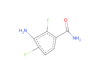 NC(=O)c1ccc(F)c(N)c1F